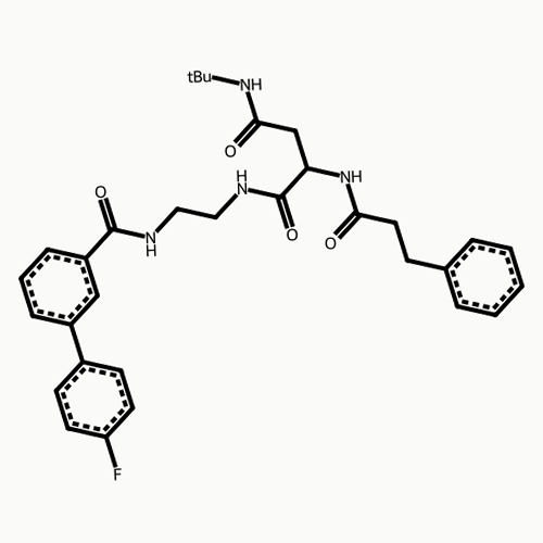 CC(C)(C)NC(=O)CC(NC(=O)CCc1ccccc1)C(=O)NCCNC(=O)c1cccc(-c2ccc(F)cc2)c1